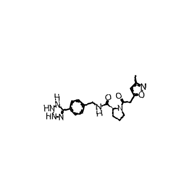 Cc1cc(CC(=O)N2CCC[C@H]2C(=O)NCc2ccc(C3=NNNN3)cc2)on1